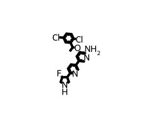 CC(Oc1cc(-c2ccc(C3CNCC3F)nc2)cnc1N)c1cc(Cl)ccc1Cl